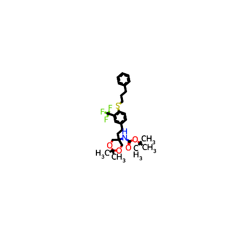 CC(C)(C)OC(=O)NC1(CCc2ccc(SCCCc3ccccc3)c(C(F)(F)F)c2)COC(C)(C)OC1